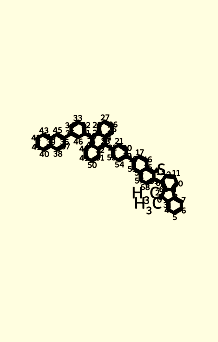 CC1(C)c2ccccc2-c2ccc3sc4c5ccc(-c6ccc(-c7c8ccccc8c(-c8cccc(-c9ccc%10ccccc%10c9)c8)c8ccccc78)cc6)cc5ccc4c3c21